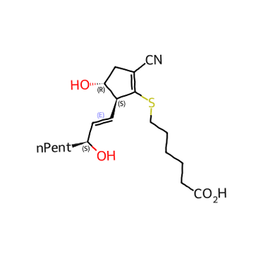 CCCCC[C@H](O)/C=C/[C@@H]1C(SCCCCCC(=O)O)=C(C#N)C[C@H]1O